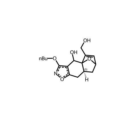 CCCCOc1noc2c1C(O)C13OC(C=C1CO)C[C@H]3C2